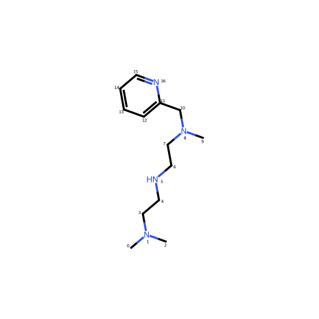 CN(C)CCNCCN(C)Cc1ccccn1